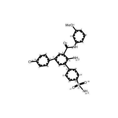 COc1cccc(NC(=O)c2cc(-c3ccc(Cl)cc3)cc(-c3ccc(S(N)(=O)=O)cc3)c2N)c1